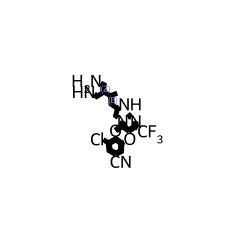 CC(=C\C(=N)Cn1cnc(C(F)(F)F)c(Oc2cc(Cl)cc(C#N)c2)c1=O)/C(C=N)=C/N